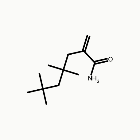 C=C(CC(C)(C)CC(C)(C)C)C(N)=O